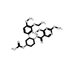 CCOc1cc([C@H]2C[C@H](OC(C)=O)CC[C@H]2NC(=O)c2cnc(OC)nc2OC)ccc1OC